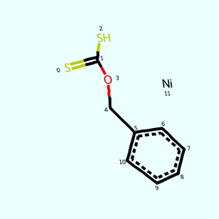 S=C(S)OCc1ccccc1.[Ni]